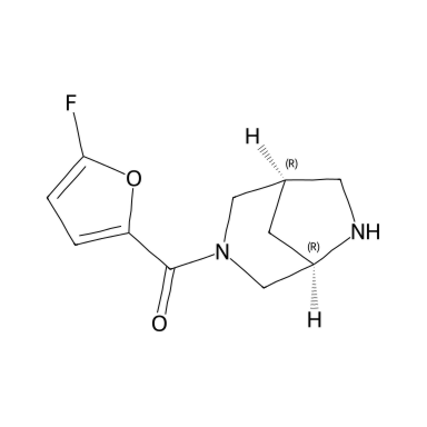 O=C(c1ccc(F)o1)N1C[C@H]2CN[C@H](C2)C1